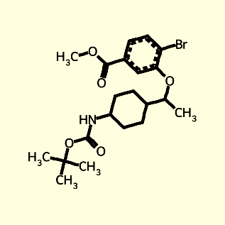 COC(=O)c1ccc(Br)c(OC(C)C2CCC(NC(=O)OC(C)(C)C)CC2)c1